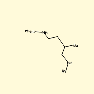 CCCCCNCCC(CNC(C)C)C(C)CC